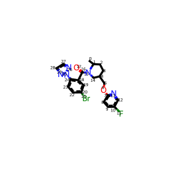 CC1CCC(COc2ccc(F)cn2)CN1C(=O)c1cc(Br)ccc1-n1nccn1